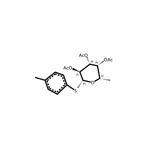 CC(=O)O[C@@H]1[C@H](OC(C)=O)[C@H](C)O[C@H](Sc2ccc(C)cc2)[C@H]1OC(C)=O